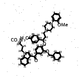 COc1ccccc1N1CCN(CCC(Oc2ccc(C(=O)c3cn(CCCC(=O)O)c4ccccc34)cc2OCc2ccccc2)c2ccc(C)cc2)CC1